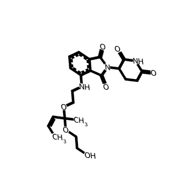 C/C=C\C(C)(OCCO)OCCNc1cccc2c1C(=O)N(C1CCC(=O)NC1=O)C2=O